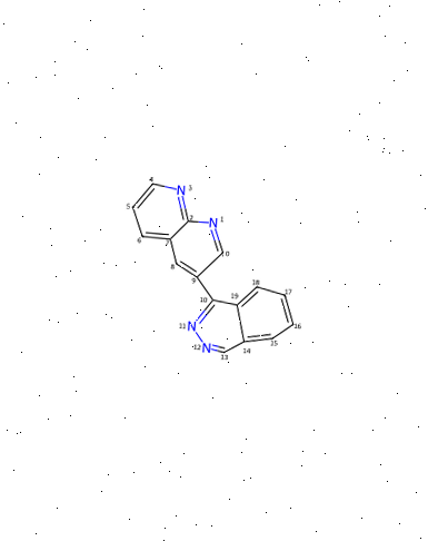 [c]1nc2ncccc2cc1-c1nncc2ccccc12